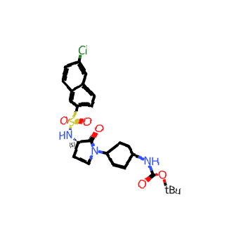 CC(C)(C)OC(=O)NC1CCC(N2CC[C@H](NS(=O)(=O)c3ccc4cc(Cl)ccc4c3)C2=O)CC1